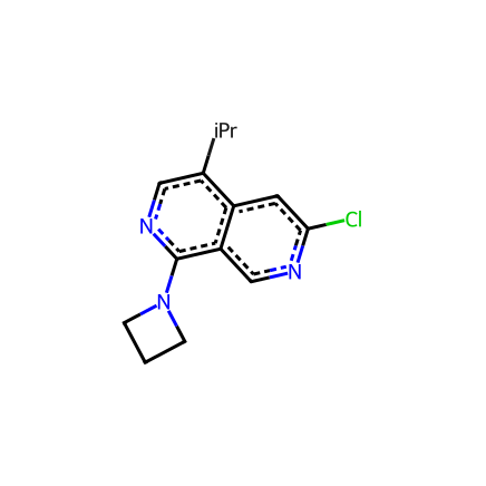 CC(C)c1cnc(N2CCC2)c2cnc(Cl)cc12